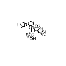 COc1nc2nn(C)cc2cc1NC(=O)N1CCc2c(N3CCNC(C)(C)C3)ccnc21.O=C(O)C(F)(F)F